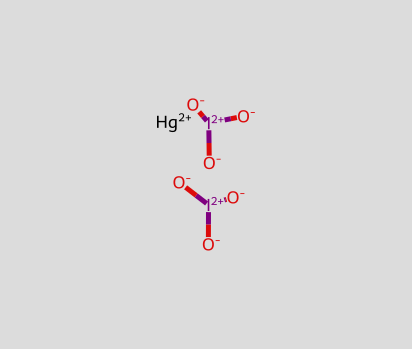 [Hg+2].[O-][I+2]([O-])[O-].[O-][I+2]([O-])[O-]